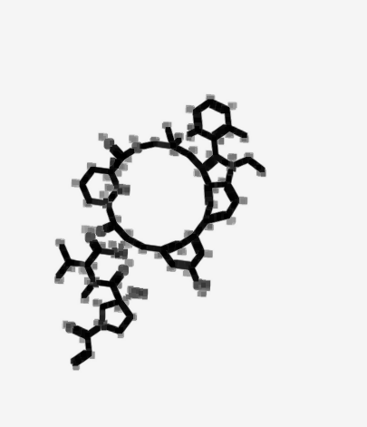 C=CC(=O)N1CC[C@](O)(C(=O)N(C)[C@H](C(=O)N[C@H]2Cc3cc(O)cc(c3)-c3ccc4c(c3)c(c(-c3c(C)cccc3C)n4CC)CC(C)(C)COC(=O)[C@@H]3CCCN(N3)C2=O)C(C)C)C1